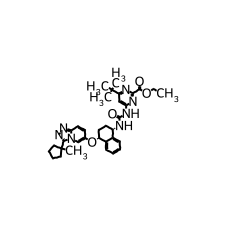 CCOC(=O)c1nc(NC(=O)N[C@H]2CC[C@@H](Oc3ccc4nnc(C5(C)CCCC5)n4c3)c3ccccc32)cc(C(C)(C)C)n1